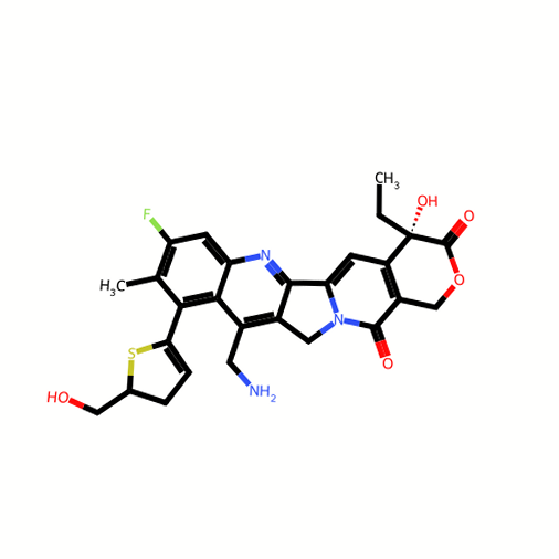 CC[C@@]1(O)C(=O)OCc2c1cc1n(c2=O)Cc2c-1nc1cc(F)c(C)c(C3=CCC(CO)S3)c1c2CN